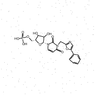 O=c1ccn([C@@H]2O[C@H](COP(=O)(O)O)C(O)C2O)c(=O)n1Cc1ncc(-c2ccccc2)o1